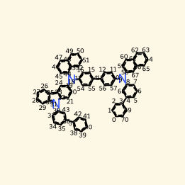 c1ccc(-c2cccc(N(c3ccc(-c4ccc(N(c5ccc6c(c5)c5ccccc5n6-c5cccc(-c6ccccc6)c5)c5cccc6ccccc56)cc4)cc3)c3ccc4ccccc4c3)c2)cc1